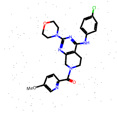 COc1ccc(C(=O)N2CCc3c(nc(N4CCOCC4)nc3Nc3ccc(Cl)cc3)C2)nc1